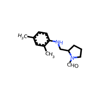 Cc1ccc(NCC2CCCN2C=O)c(C)c1